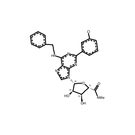 CNC(=O)[C@H]1O[C@@H](n2cnc3c(NCc4ccccc4)nc(-c4cccc(Cl)c4)nc32)[C@H](O)[C@@H]1O